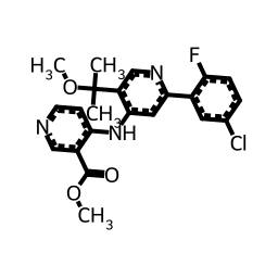 COC(=O)c1cnccc1Nc1cc(-c2cc(Cl)ccc2F)ncc1C(C)(C)OC